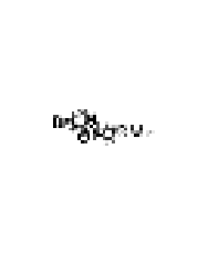 COc1ccc(Cn2cnc3ccc(Br)c(C)c3c2=O)cc1